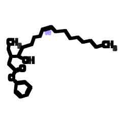 CCCCCCCC/C=C\CCCCC(O)C(CC)CC(=O)Oc1ccccc1